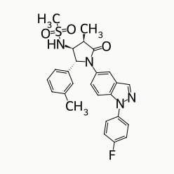 Cc1cccc([C@@H]2[C@@H](NS(C)(=O)=O)[C@@H](C)C(=O)N2c2ccc3c(cnn3-c3ccc(F)cc3)c2)c1